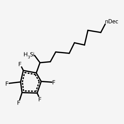 CCCCCCCCCCCCCCCCCC([SiH3])c1c(F)c(F)c(F)c(F)c1F